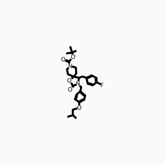 CC(C)COc1ccc(CN2C(=O)OC3(CCN(C(=O)OC(C)(C)C)CC3)C2Cc2ccc(F)cc2)cc1